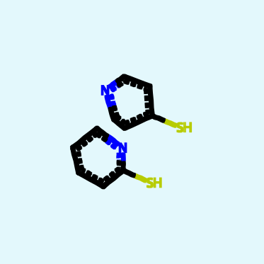 Sc1ccccn1.Sc1ccncc1